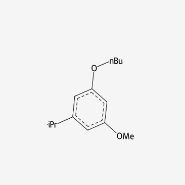 CCCCOc1cc(OC)cc([C](C)C)c1